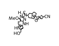 COc1nc(N(C)C2CC3CCC4([S+]([O-])N5CC(C#N)C5)CC(C2)N34)nc(Nc2cc(CO)[nH]n2)c1F